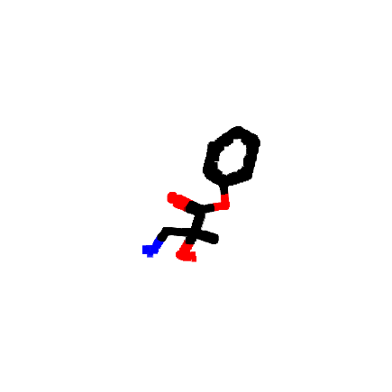 CC(O)(CN)C(=O)Oc1ccccc1